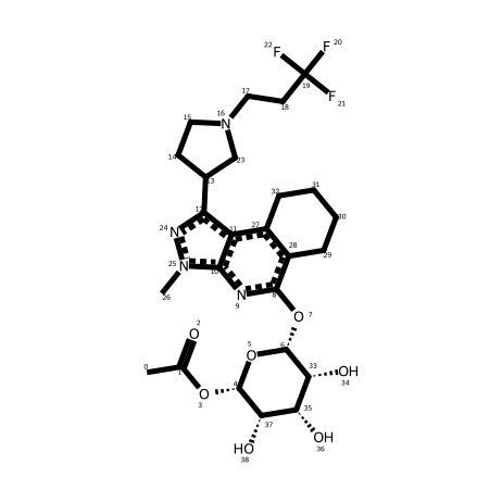 CC(=O)O[C@@H]1O[C@H](Oc2nc3c(c(C4CCN(CCC(F)(F)F)C4)nn3C)c3c2CCCC3)[C@H](O)[C@H](O)[C@@H]1O